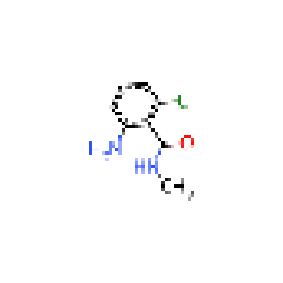 CNC(=O)c1c(N)cccc1Cl